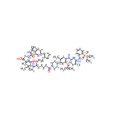 Cc1cc(Nc2ncc(Cl)c(Nc3ccccc3S(=O)(=O)C(C)C)n2)c(OC(C)C)cc1C1CCN(C(=O)CCCCC(=O)NC(C(=O)N2C[C@H](O)C[C@H]2C(=O)N[C@@H](C)c2ccc(-c3scnc3C)cc2)C(C)(C)C)CC1